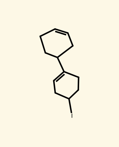 IC1CC=C(C2CC=CCC2)CC1